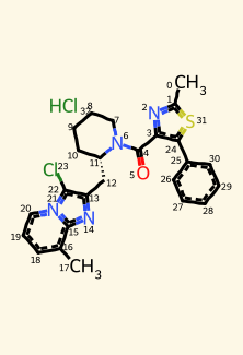 Cc1nc(C(=O)N2CCCC[C@H]2Cc2nc3c(C)cccn3c2Cl)c(-c2ccccc2)s1.Cl